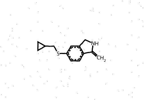 C=C1NCc2cc(SCC3CC3)ccc21